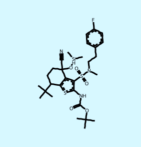 CN(CCc1ccc(F)cc1)S(=O)(=O)c1c(NC(=O)OC(C)(C)C)sc2c1C(C#N)(O[SiH](C)C)CCC2C(C)(C)C